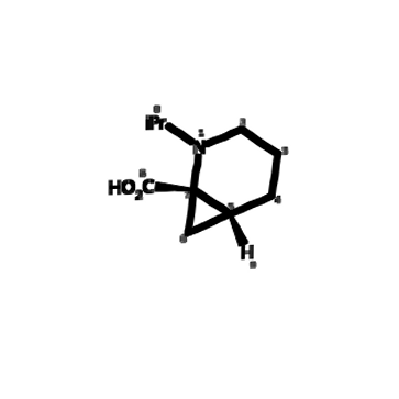 CC(C)N1CCC[C@@H]2C[C@@]21C(=O)O